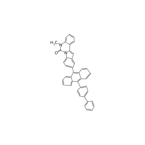 Cn1c(=O)n2c3ccc(-c4c5ccccc5c(-c5ccc(-c6ccccc6)cc5)c5ccccc45)cc3cc2c2ccccc21